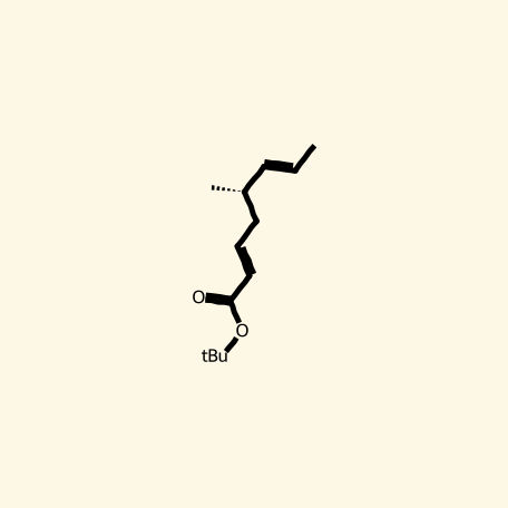 C/C=C/[C@@H](C)C/C=C/C(=O)OC(C)(C)C